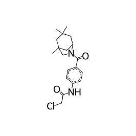 CC1(C)CC2CC(C)(CN2C(=O)c2ccc(NC(=O)CCl)cc2)C1